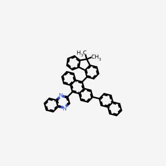 CC1(C)c2ccccc2-c2c(-c3c4ccccc4c(-c4cnc5ccccc5n4)c4ccc(-c5ccc6ccccc6c5)cc34)cccc21